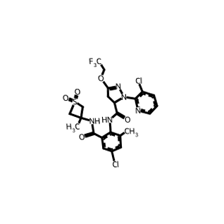 Cc1cc(Cl)cc(C(=O)NC2(C)CS(=O)(=O)C2)c1NC(=O)C1CC(OCC(F)(F)F)=NN1c1ncccc1Cl